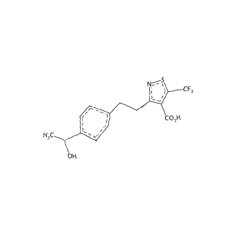 CC(O)c1ccc(CCc2nsc(C(F)(F)F)c2C(=O)O)cc1